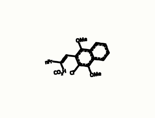 CCC/C(=C/c1c(Cl)c(OC)c2ccccc2c1OC)C(=O)O